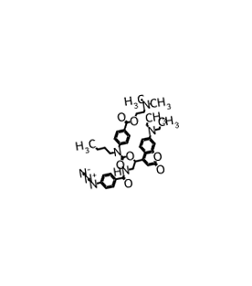 CCCCN(C(=O)OC(CNC(=O)c1ccc(N=[N+]=[N-])cc1)c1cc(=O)oc2cc(N(CC)CC)ccc12)c1ccc(C(=O)OCCN(C)C)cc1